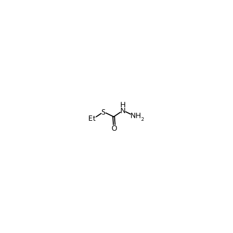 CCSC(=O)NN